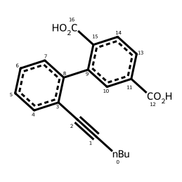 CCCCC#Cc1ccccc1-c1cc(C(=O)O)ccc1C(=O)O